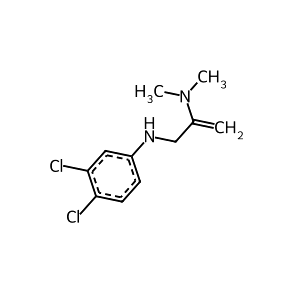 C=C(CNc1ccc(Cl)c(Cl)c1)N(C)C